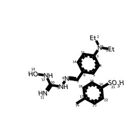 CCN(CC)c1ccc(C=NNC(=N)NO)cc1.Cc1ccc(S(=O)(=O)O)cc1